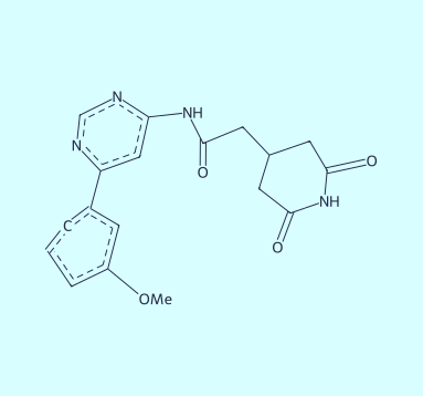 COc1cccc(-c2cc(NC(=O)CC3CC(=O)NC(=O)C3)ncn2)c1